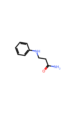 NC(=O)CCNc1ccccc1